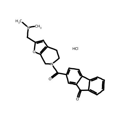 CN(C)Cc1cc2c(o1)CN(C(=O)c1ccc3c(c1)C(=O)c1ccccc1-3)CC2.Cl